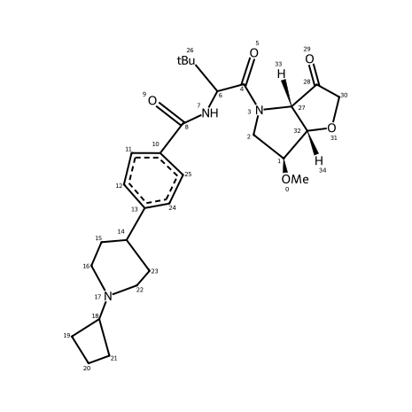 CO[C@H]1CN(C(=O)C(NC(=O)c2ccc(C3CCN(C4CCC4)CC3)cc2)C(C)(C)C)[C@@H]2C(=O)CO[C@H]12